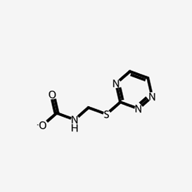 [O]C(=O)NCSc1nccnn1